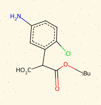 CCC(C)OC(=O)C(C(=O)O)c1cc(N)ccc1Cl